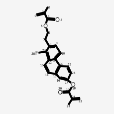 C=C(C)C(=O)OCCc1ccc2c(ccc3cc(OC(=O)C(=C)C)ccc32)c1F